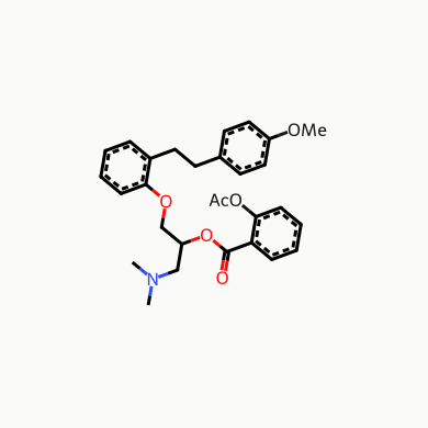 COc1ccc(CCc2ccccc2OCC(CN(C)C)OC(=O)c2ccccc2OC(C)=O)cc1